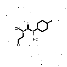 CC1CCC(NC(=O)N(CCCl)N=O)CC1.Cl